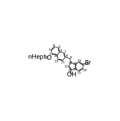 CCCCCCCOc1cccc2cc(CC3C=C(O)c4ccc(Br)cc43)ccc12